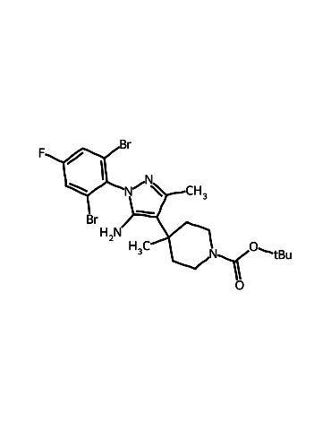 Cc1nn(-c2c(Br)cc(F)cc2Br)c(N)c1C1(C)CCN(C(=O)OC(C)(C)C)CC1